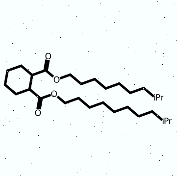 CC(C)CCCCCCCCOC(=O)C1CCCCC1C(=O)OCCCCCCCC(C)C